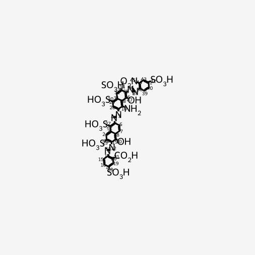 Nc1c(N=Nc2ccc3c(O)c(N=Nc4ccc(S(=O)(=O)O)cc4C(=O)O)c(S(=O)(=O)O)cc3c2S(=O)(=O)O)cc(S(=O)(=O)O)c2cc(S(=O)(=O)O)c(N=Nc3ccc(S(=O)(=O)O)cc3[N+](=O)[O-])c(O)c12